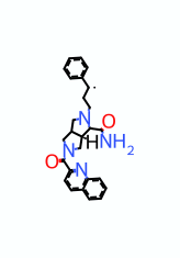 NC(=O)C1[C@@H]2CN(C(=O)c3ccc4ccccc4n3)CC2CN1CC[CH]c1ccccc1